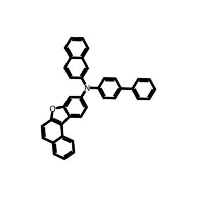 c1ccc(-c2ccc(N(c3ccc4ccccc4c3)c3ccc4c(c3)oc3ccc5ccccc5c34)cc2)cc1